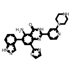 Nc1c(-c2cccc3[nH]ncc23)cc(-c2nccs2)c2nc(-c3ccnc(N4CCNCC4)c3)[nH]c(=O)c12